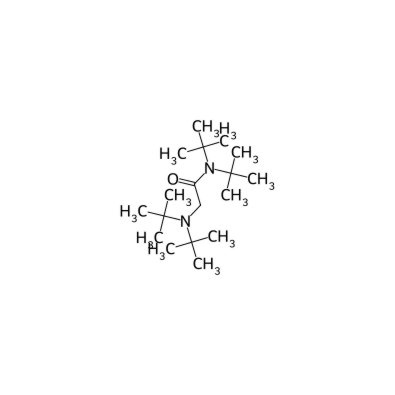 CC(C)(C)N(CC(=O)N(C(C)(C)C)C(C)(C)C)C(C)(C)C